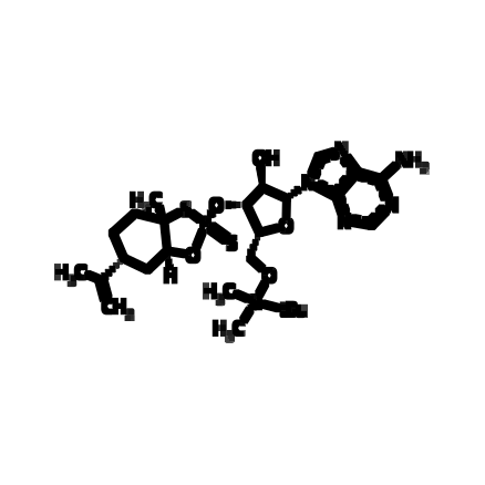 C=C(C)[C@@H]1CC[C@]2(C)S[P@@](=S)(O[C@@H]3[C@@H](O)[C@H](n4cnc5c(N)ncnc54)O[C@@H]3CO[Si](C)(C)C(C)(C)C)O[C@H]2C1